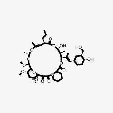 CCC[C@@H]1/C=C(\C)C[C@@H](C)C[C@H](OC)[C@H]2O[C@@](O)(C(=O)C(=O)N3CCCCC3C(=O)O[C@H](/C(C)=C/[C@@H]3CC[C@@H](O)[C@H](CO)C3)[C@H](C)[C@@H](O)CC1=O)[C@H](C)C[C@@H]2OC